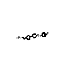 CCCC=CC1CCC(C2CCC(COc3ccc(F)cc3)CC2)CC1